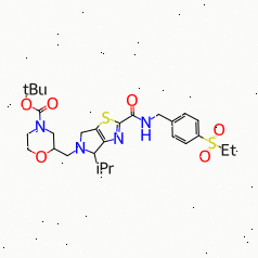 CCS(=O)(=O)c1ccc(CNC(=O)c2nc3c(s2)CN(CC2CN(C(=O)OC(C)(C)C)CCO2)C3C(C)C)cc1